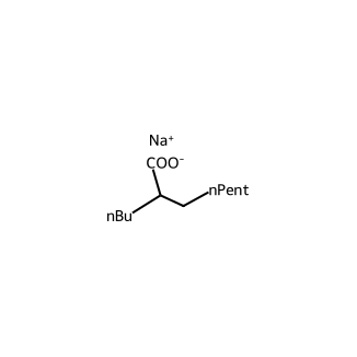 CCCCCCC(CCCC)C(=O)[O-].[Na+]